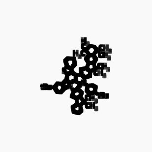 CC(C)(C)c1ccc(N2B3c4cc5c(cc4-n4c6ccc(C(C)(C)C)cc6c6c7sc8ccccc8c7c(c3c64)-c3cc4c(cc32)C(C)(C)c2cc3c(cc2-4)C(C)(C)CCC3(C)C)-c2ccccc2C5(C)C)cc1